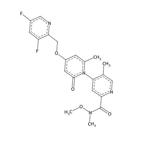 CON(C)C(=O)c1cc(-n2c(C)cc(OCc3ncc(F)cc3F)cc2=O)c(C)cn1